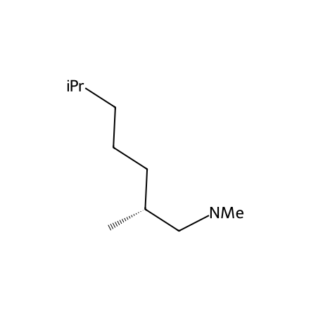 CNC[C@H](C)CCCC(C)C